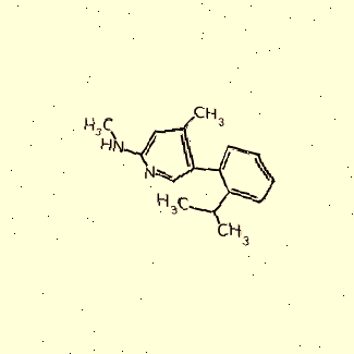 CNc1cc(C)c(-c2ccccc2C(C)C)cn1